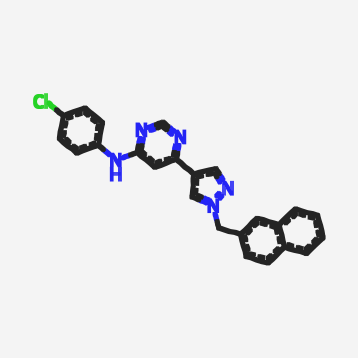 Clc1ccc(Nc2cc(-c3cnn(Cc4ccc5ccccc5c4)c3)ncn2)cc1